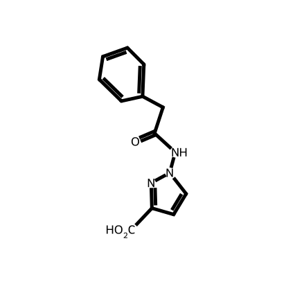 O=C(Cc1ccccc1)Nn1ccc(C(=O)O)n1